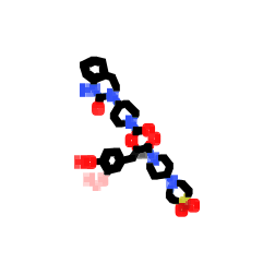 Bc1cc(C[C@@H](OC(=O)N2CCC(N3CCc4ccccc4NC3=O)CC2)C(=O)N2CCC(N3CCS(=O)(=O)CC3)CC2)ccc1O